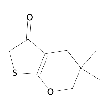 CC1(C)COC2=C(C1)C(=O)CS2